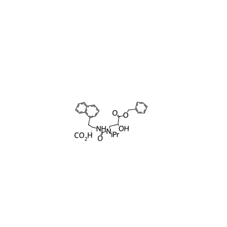 CC(C)N(CC(O)C(=O)OCc1ccccc1)C(=O)N[C@@H](Cc1cccc2ccccc12)C(=O)O